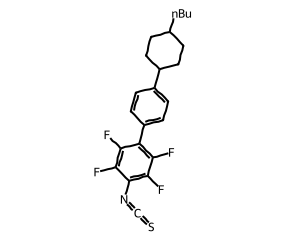 CCCCC1CCC(c2ccc(-c3c(F)c(F)c(N=C=S)c(F)c3F)cc2)CC1